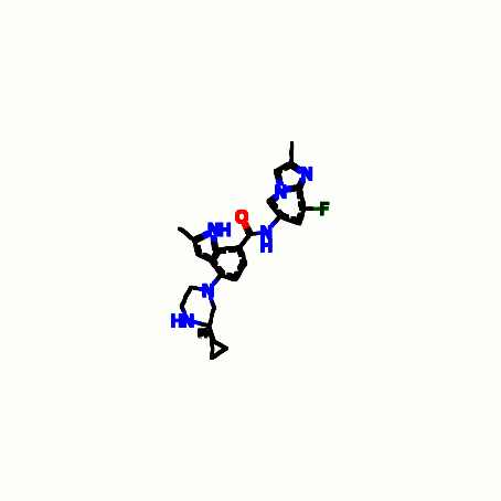 Cc1cn2cc(NC(=O)c3ccc(N4CCN[C@H](C5CC5)C4)c4cc(C)[nH]c34)cc(F)c2n1